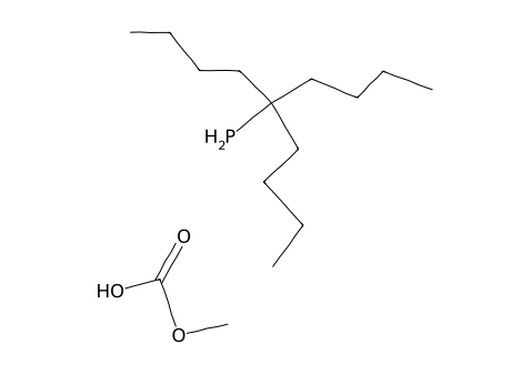 CCCCC(P)(CCCC)CCCC.COC(=O)O